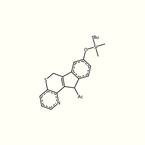 CC(=O)C1C2=C(CSc3cccnc32)c2cc(O[Si](C)(C)C(C)(C)C)ccc21